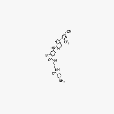 CCc1cc(Nc2nccn3c(-c4cn(CC#N)nc4C(F)(F)F)cnc23)ccc1C(=O)NCCCNC(=O)[C@@H]1CC[C@H](N)C1